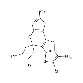 Cc1cc2c(s1)-c1sc3c(N)c(C)sc3c1C(CCC(C)C)(CCC(C)C)O2